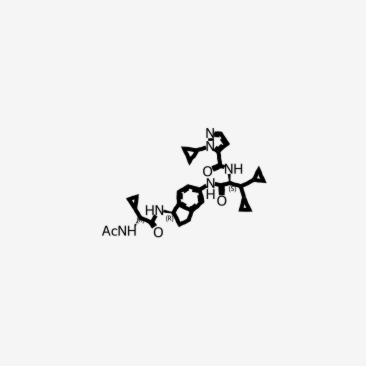 CC(=O)N[C@@H](C(=O)N[C@@H]1CCc2cc(NC(=O)[C@@H](NC(=O)c3ccnn3C3CC3)C(C3CC3)C3CC3)ccc21)C1CC1